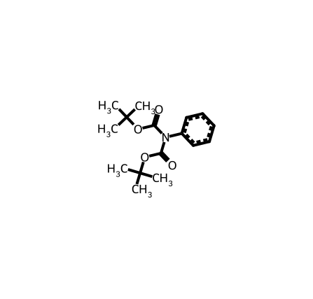 CC(C)(C)OC(=O)N(C(=O)OC(C)(C)C)c1ccccc1